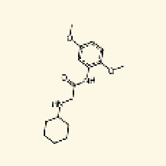 COc1ccc(OC)c(NC(=O)CNC2CCCCC2)c1